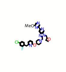 COc1cncc(-c2cc3nc(CN4CCC(Oc5cccc(Cc6ccc(Cl)cc6F)n5)CC4)n(CC4CCO4)c3cn2)n1